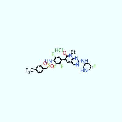 CCn1c(=O)c(-c2cc(F)c(NS(=O)(=O)Cc3ccc(C(F)(F)F)cc3)c(F)c2F)cc2cnc(N[C@@H]3CNC[C@@H](F)C3)nc21.Cl